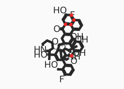 Cc1c(F)cccc1C1=C(C(=O)c2cccc(O)c2)C[C@@](C(=O)[C@@]2(C3CCCNC3)CC(C(=O)c3cccc(O)c3)=C(c3cccc(F)c3C)C(O)=C2C(C)(C)O)(C2CCCNC2)C(C(C)(C)O)=C1O